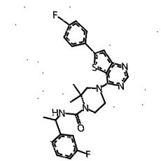 CC(NC(=O)N1CCN(c2ncnc3cc(-c4ccc(F)cc4)sc23)CC1(C)C)c1cccc(F)c1